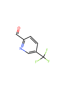 O=[C]c1ccc(C(F)(F)F)cn1